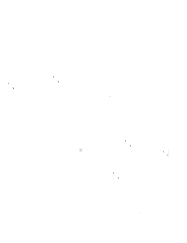 CCCc1nc2c(C)ccnc2n1Cc1ccc2c(c1)CCc1ccccc1N2C(C)C#N